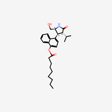 CCCCCCCCC(=O)Oc1ccc([C@@H]2[C@@H](C(C)C)C(=O)N[C@@H]2CO)c2ccccc12